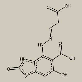 O=C(O)CC=NNc1c(C(=O)O)c(O)cc2sc(=O)[nH]c12